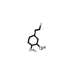 CC(=O)OC1CCC(CCI)CC1O